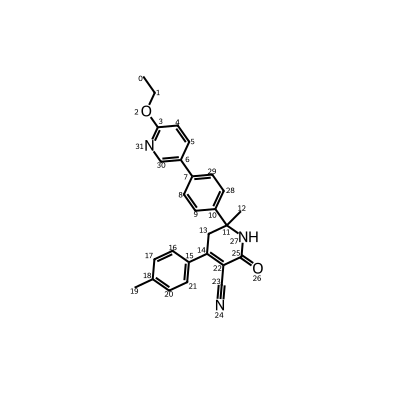 CCOc1ccc(-c2ccc(C3(C)CC(c4ccc(C)cc4)=C(C#N)C(=O)N3)cc2)cn1